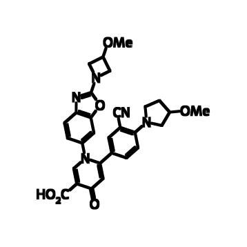 COC1CN(c2nc3ccc(-n4cc(C(=O)O)c(=O)cc4-c4ccc(N5CCC(OC)C5)c(C#N)c4)cc3o2)C1